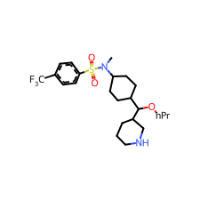 CCCOC(C1CCC(N(C)S(=O)(=O)c2ccc(C(F)(F)F)cc2)CC1)C1CCCNC1